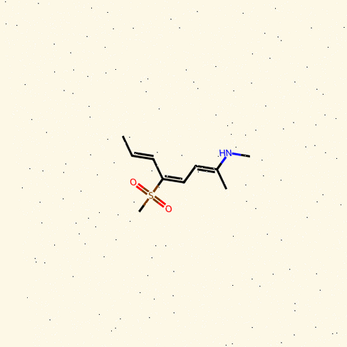 CC=C/C(=C\C=C(/C)NC)S(C)(=O)=O